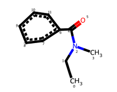 CCN(C)C(=O)c1c[c]ccc1